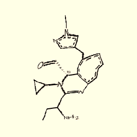 CCC(N)C1=Nc2cccc(-c3cnn(C)c3)c2[C@@H](C=O)N1C1CC1